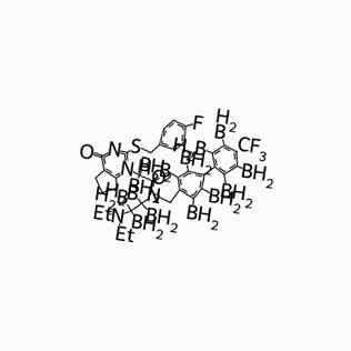 Bc1c(B)c(-c2c(B)c(B)c(C(F)(F)F)c(B)c2B)c(B)c(B)c1CN(C(=O)C(B)(B)n1c(SCc2ccc(F)cc2)nc(=O)c2c1CCC2)C(B)(B)C(B)(B)N(CC)CC